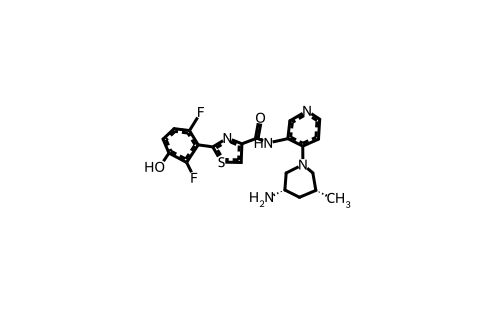 C[C@@H]1C[C@H](N)CN(c2ccncc2NC(=O)c2csc(-c3c(F)ccc(O)c3F)n2)C1